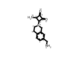 NCc1ccc2c(c1)CN(C1C(=O)C(=O)C1N)CC2